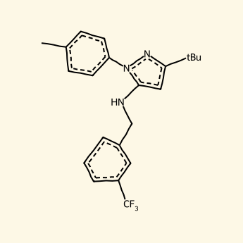 Cc1ccc(-n2nc(C(C)(C)C)cc2NCc2cccc(C(F)(F)F)c2)cc1